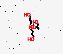 CC(O)CO.OCCCCOCCCCO